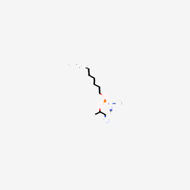 CC(=O)NCCCCCCOP(OC(C)CN)N(C(C)C)C(C)C